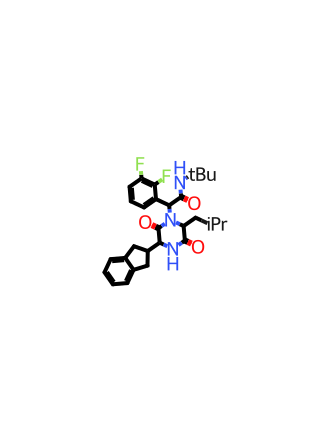 CC(C)CC1C(=O)NC(C2Cc3ccccc3C2)C(=O)N1C(C(=O)NC(C)(C)C)c1cccc(F)c1F